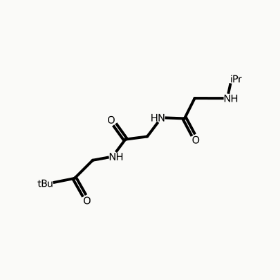 CC(C)NCC(=O)NCC(=O)NCC(=O)C(C)(C)C